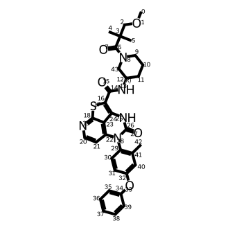 COCC(C)(C)C(=O)N1CCC[C@@H](NC(=O)c2sc3nccc4c3c2NC(=O)N4c2ccc(Oc3ccccc3)cc2C)C1